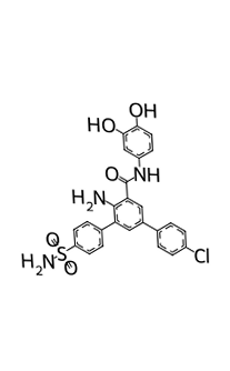 Nc1c(C(=O)Nc2ccc(O)c(O)c2)cc(-c2ccc(Cl)cc2)cc1-c1ccc(S(N)(=O)=O)cc1